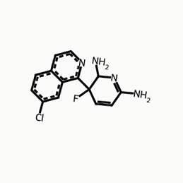 NC1=NC(N)C(F)(c2nccc3ccc(Cl)cc23)C=C1